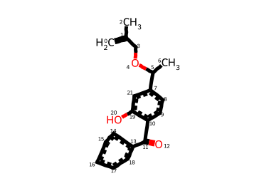 C=C(C)COC(C)c1ccc(C(=O)c2ccccc2)c(O)c1